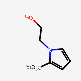 CCOC(=O)c1cccn1CCO